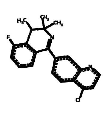 CC1c2c(F)cccc2C(c2ccc3c(Cl)ccnc3c2)=NC1(C)C